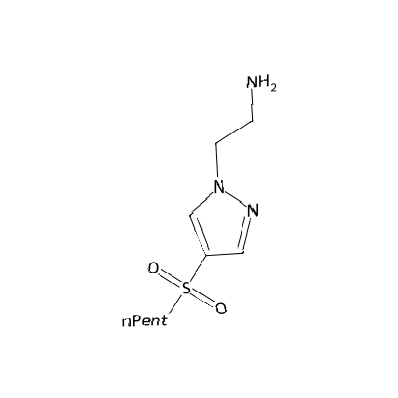 CCCCCS(=O)(=O)c1cnn(CCN)c1